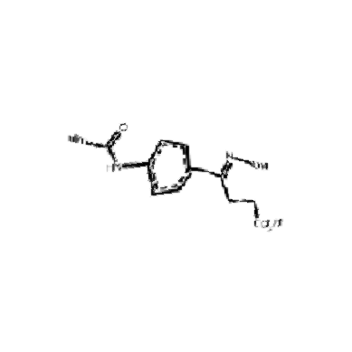 CCCC(=O)Nc1ccc(C(CCC(=O)O)=NO)cc1